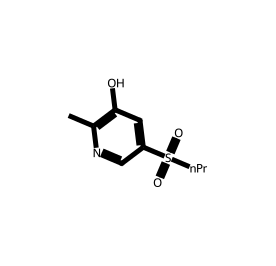 CCCS(=O)(=O)c1cnc(C)c(O)c1